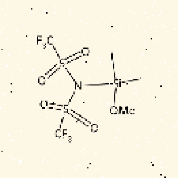 CO[Si](C)(C)N(S(=O)(=O)C(F)(F)F)S(=O)(=O)C(F)(F)F